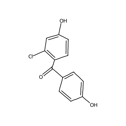 O=C(c1ccc(O)cc1)c1ccc(O)cc1Cl